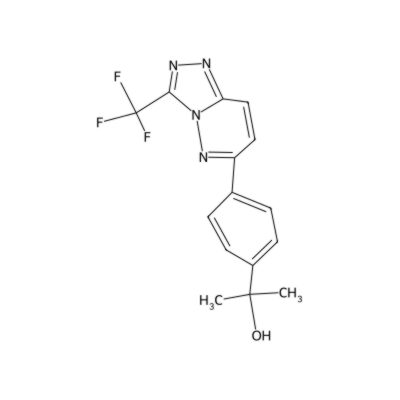 CC(C)(O)c1ccc(-c2ccc3nnc(C(F)(F)F)n3n2)cc1